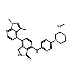 CN[C@@H]1CCCN(c2ccc(Nc3ccc(-c4ccnc5c4c(C)cn5C)c4c3C(=O)NC4)nc2)C1